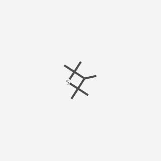 CC1C(C)(C)SC1(C)C